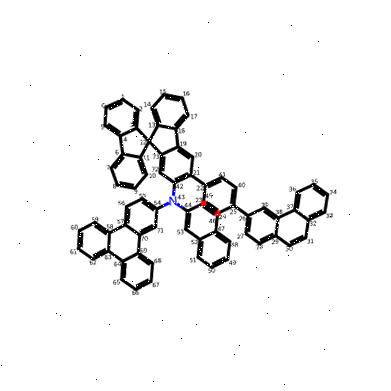 c1ccc2c(c1)-c1ccccc1C21c2ccccc2-c2cc(-c3ccc(-c4ccc5ccc6ccccc6c5c4)cc3)c(N(c3ccc4ccccc4c3)c3ccc4c5ccccc5c5ccccc5c4c3)cc21